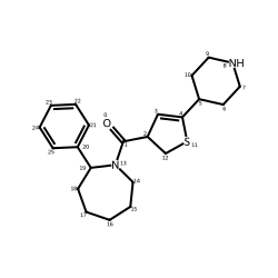 O=C(C1C=C(C2CCNCC2)SC1)N1CCCCCC1c1ccccc1